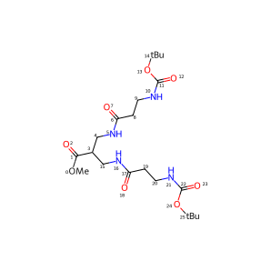 COC(=O)C(CNC(=O)CCNC(=O)OC(C)(C)C)CNC(=O)CCNC(=O)OC(C)(C)C